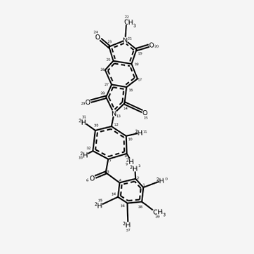 [2H]c1c([2H])c(C(=O)c2c([2H])c([2H])c(-n3c(=O)c4cc5c(=O)n(C)c(=O)c5cc4c3=O)c([2H])c2[2H])c([2H])c([2H])c1C